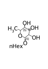 CCCCCCO[C@H]1OC(C)[C@@H](O)[C@H](O)C1O